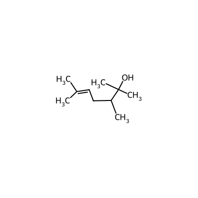 CC(C)=CCC(C)C(C)(C)O